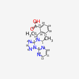 CCN(c1ncnn1-c1ncccn1)C(C)c1ccccc1C(=O)O